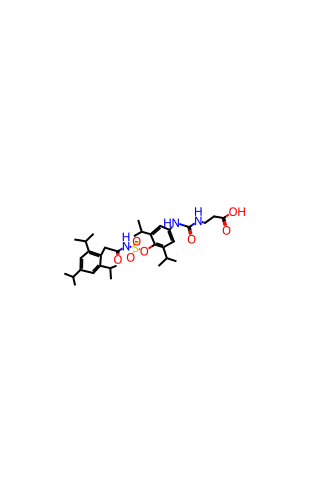 CC(C)c1cc(C(C)C)c(CC(=O)NS(=O)(=O)Oc2c(C(C)C)cc(NC(=O)NCCC(=O)O)cc2C(C)C)c(C(C)C)c1